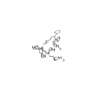 CCC[C@H](O)/C=C/[C@@H]1[C@@H](C/C=C/CCC(C(=O)OC)C2CCCC2)[C@@H](O)C[C@H]1O